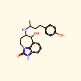 CC(CCc1ccc(O)cc1)NC1CCn2c(=O)[nH]c3cccc(c32)C1O